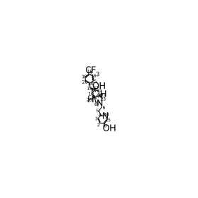 Oc1ccc(CCN2C[C@@H]3C[C@@](O)(Cc4ccc(C(F)(F)F)cc4)C[C@@H]3C2)nc1